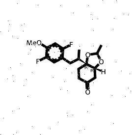 COc1cc(F)c(CC(C)[C@]23CCC(=O)C[C@H]2OC(C)O3)cc1F